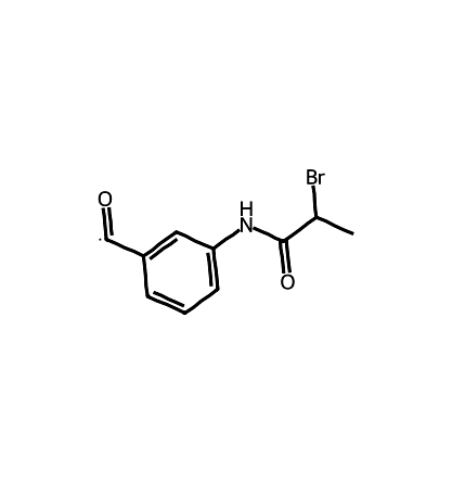 CC(Br)C(=O)Nc1cccc([C]=O)c1